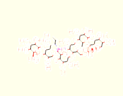 CCCNCC1OC(OC2C(CO)OC(OC3C(CO)OC(OC4C(CO)OCC(O)C4O)C(O)C3O)C(O)C2O)C(O)C(O)C1OC1OC(CO)C(OC2OC(CO)C(O)C(O)C2O)C(O)C1O